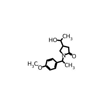 COc1ccc(C(C)N2CC(C(C)O)CC2=O)cc1